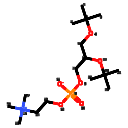 CC(C)(C)OCC(COP(=O)([O-])OCC[N+](C)(C)C)OC(C)(C)C